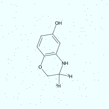 [2H]C1([2H])COc2ccc(O)cc2N1